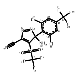 N#CC1=C(S(=O)(=O)C(F)(F)F)C(N)(c2c(Cl)cc(C(F)(F)F)cc2Cl)N=N1